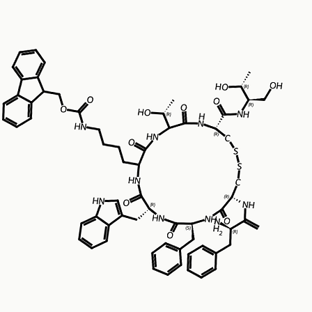 C=C(N[C@H]1CSSC[C@@H](C(=O)N[C@H](CO)[C@@H](C)O)NC(=O)C([C@@H](C)O)NC(=O)C(CCCCNC(=O)OCC2c3ccccc3-c3ccccc32)NC(=O)[C@@H](Cc2c[nH]c3ccccc23)NC(=O)[C@H](Cc2ccccc2)NC1=O)[C@H](N)Cc1ccccc1